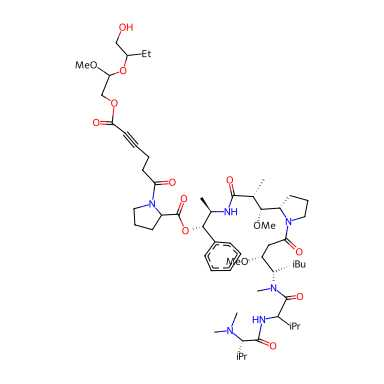 CCC(CO)OC(COC(=O)C#CCCC(=O)N1CCCC1C(=O)O[C@@H](c1ccccc1)[C@@H](C)NC(=O)[C@H](C)[C@@H](OC)[C@@H]1CCCN1C(=O)C[C@@H](OC)[C@H]([C@@H](C)CC)N(C)C(=O)C(NC(=O)[C@H](C(C)C)N(C)C)C(C)C)OC